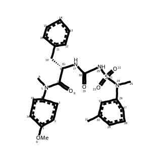 COc1ccc(N(C)C(=O)[C@H](Cc2ccccc2)NC(=O)NS(=O)(=O)N(C)c2cccc(C)c2)cc1